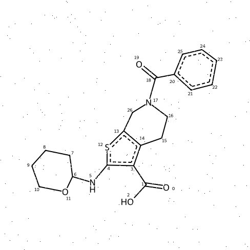 O=C(O)c1c(NC2CCCCO2)sc2c1CCN(C(=O)c1ccccc1)C2